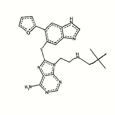 CC(C)(C)CNCCn1c(Sc2cc3nc[nH]c3cc2-c2ccco2)nc2c(N)ncnc21